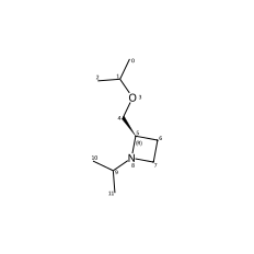 CC(C)OC[C@H]1CCN1C(C)C